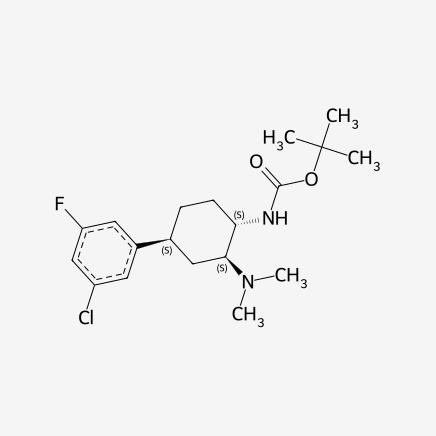 CN(C)[C@H]1C[C@@H](c2cc(F)cc(Cl)c2)CC[C@@H]1NC(=O)OC(C)(C)C